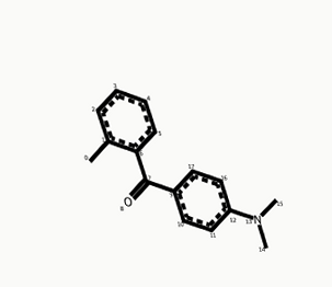 Cc1ccccc1C(=O)c1ccc(N(C)C)cc1